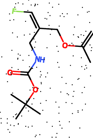 C=C(C)OC/C(=C/F)CNC(=O)OC(C)(C)C